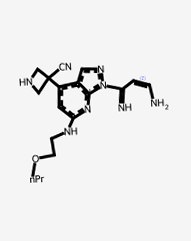 CCCOCCNc1cc(C2(C#N)CNC2)c2cnn(C(=N)/C=C\N)c2n1